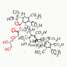 O=C(COCC(O)CO)OC(=O)c1c(C(=O)O)c(C(=O)O)c(C(=O)O)c(C(=O)O)c1C(=O)O.O=C(O)c1c(C(=O)O)c(C(=O)O)c(C(=O)O)c(C(=O)O)c1C(=O)O.O=C(O)c1c(C(=O)O)c(C(=O)O)c(C(=O)O)c(C(=O)O)c1C(=O)O